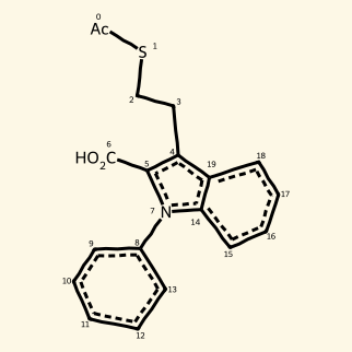 CC(=O)SCCc1c(C(=O)O)n(-c2ccccc2)c2ccccc12